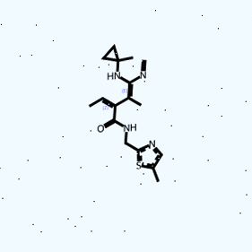 C=N/C(NC1(C)CC1)=C(C)/C(=C/C)C(=O)NCc1ncc(C)s1